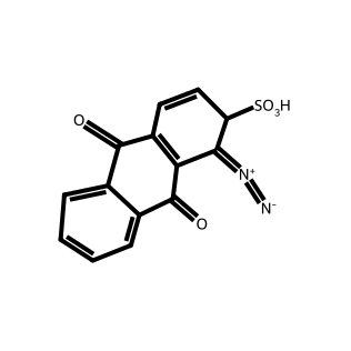 [N-]=[N+]=C1C2=C(C=CC1S(=O)(=O)O)C(=O)c1ccccc1C2=O